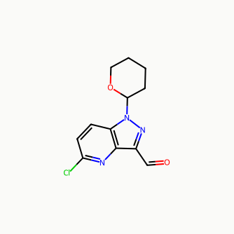 O=Cc1nn(C2CCCCO2)c2ccc(Cl)nc12